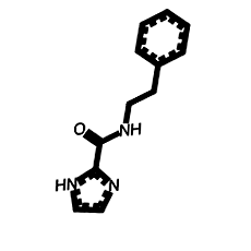 O=C(NCCc1ccccc1)c1ncc[nH]1